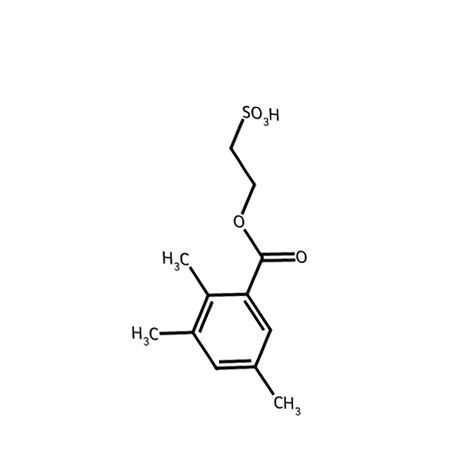 Cc1cc(C)c(C)c(C(=O)OCCS(=O)(=O)O)c1